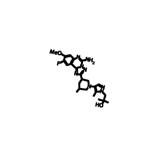 COc1cc2nc(N)n3nc(C4CC(C)CN(c5cnn(CC(C)(C)O)c5C)C4)nc3c2cc1F